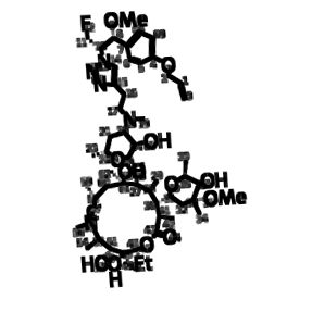 C=CCOc1ccc([C@@H](OC)[C@@H](CF)n2cc(CCN(C)[C@H]3C[C@@H](C)O[C@@H](O[C@@H]4[C@@H](C)[C@H](C5C[C@@](C)(OC)[C@@H](O)[C@H](C)O5)[C@@H](C)C(=O)O[C@H](CC)[C@@](C)(O)[C@H](O)[C@@H](C)N(C)C[C@H](C)C[C@@]4(C)O)[C@@H]3O)nn2)cc1